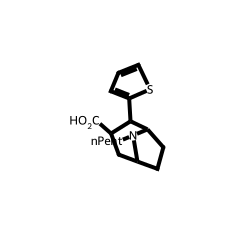 CCCCCN1C2CCC1C(c1cccs1)C(C(=O)O)C2